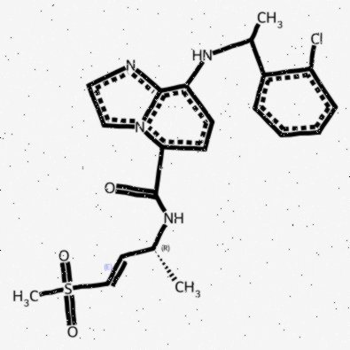 CC(Nc1ccc(C(=O)N[C@H](C)/C=C/S(C)(=O)=O)n2ccnc12)c1ccccc1Cl